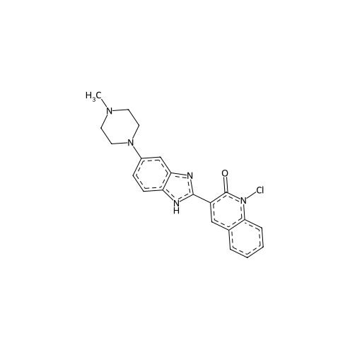 CN1CCN(c2ccc3[nH]c(-c4cc5ccccc5n(Cl)c4=O)nc3c2)CC1